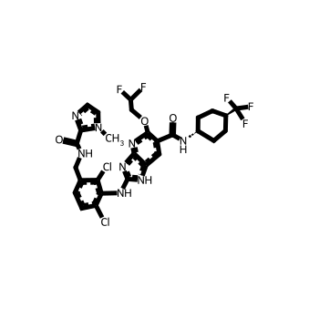 Cn1ccnc1C(=O)NCc1ccc(Cl)c(Nc2nc3nc(OCC(F)F)c(C(=O)N[C@H]4CC[C@H](C(F)(F)F)CC4)cc3[nH]2)c1Cl